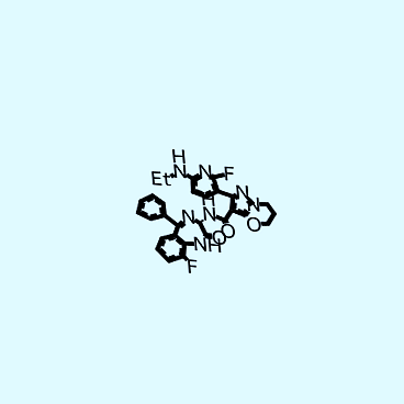 CCNc1ccc(-c2nn3c(c2C(=O)N[C@H]2N=C(c4ccccc4)c4cccc(F)c4NC2=O)OCCC3)c(F)n1